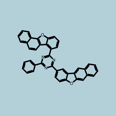 c1ccc(-c2nc(-c3ccc4oc5cc6ccccc6cc5c4c3)nc(-c3cccc4oc5c6ccccc6ccc5c34)n2)cc1